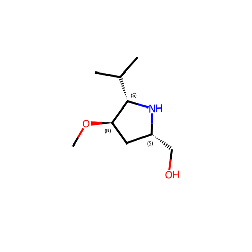 CO[C@@H]1C[C@@H](CO)N[C@H]1C(C)C